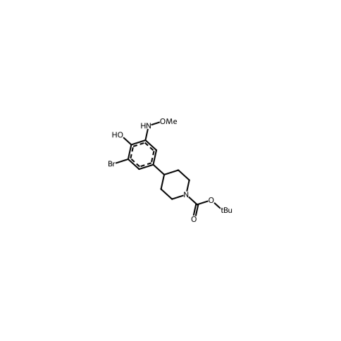 CONc1cc(C2CCN(C(=O)OC(C)(C)C)CC2)cc(Br)c1O